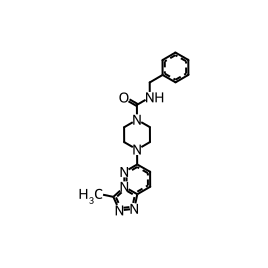 Cc1nnc2ccc(N3CCN(C(=O)NCc4ccccc4)CC3)nn12